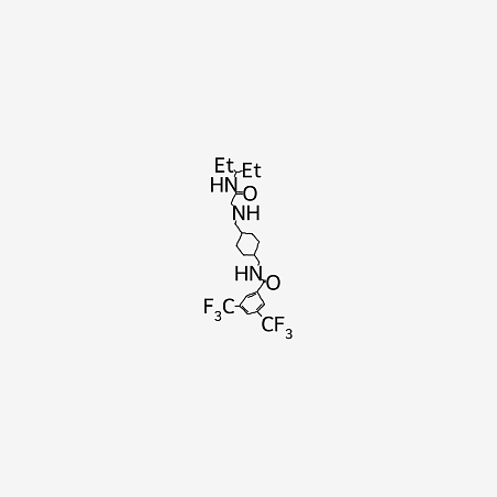 CCC(CC)NC(=O)CNCC1CCC(CNC(=O)c2cc(C(F)(F)F)cc(C(F)(F)F)c2)CC1